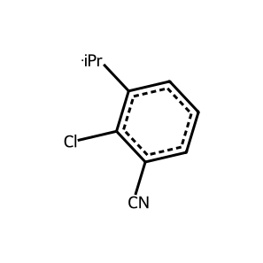 C[C](C)c1cccc(C#N)c1Cl